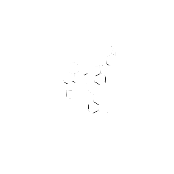 CCC(C)(C)C(=O)C(=O)N1CCCC[C@H]1C(=O)O[C@H](CCc1ccc(OC)c(OC)c1)c1cccc(NC(=O)CNN)c1